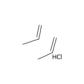 C=CC.C=CC.Cl